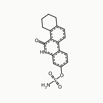 NS(=O)(=O)Oc1ccc2c(c1)[nH]c(=O)c1c3c(ccc12)CCCC3